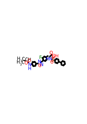 CC(C)(C)OC(=O)Nc1ccc(-c2nc(-c3ccc(C[C@@H](NS(=O)(=O)c4ccc(-c5ccccc5)cc4)C(=O)O)cc3F)no2)cc1